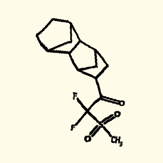 CS(=O)(=O)C(F)(F)C(=O)C1CC2CC1C1C3CCC(C3)C21